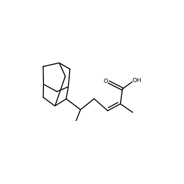 CC(=CCC(C)C1C2CC3CC(C2)CC1C3)C(=O)O